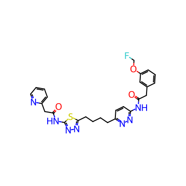 O=C(Cc1cccc(OCF)c1)Nc1ccc(CCCCc2nnc(NC(=O)Cc3ccccn3)s2)nn1